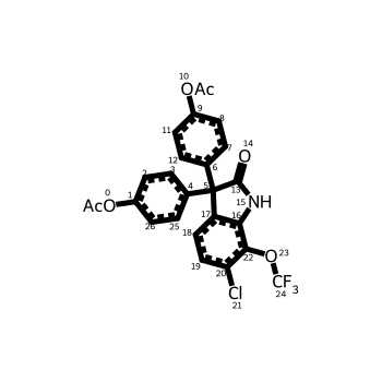 CC(=O)Oc1ccc(C2(c3ccc(OC(C)=O)cc3)C(=O)Nc3c2ccc(Cl)c3OC(F)(F)F)cc1